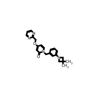 CC1(C)CN(c2cccc(Cn3ccc(OCc4ncccn4)cc3=O)c2)C1